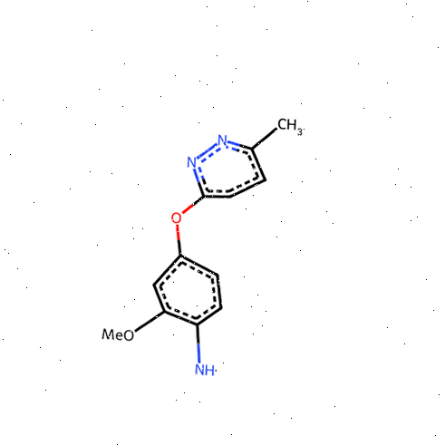 COc1cc(Oc2ccc(C)nn2)ccc1[NH]